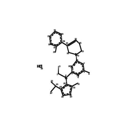 CCN(c1nc(C)cc(N2CCC=C(c3ccccc3C)C2)n1)c1c(C(C)C)csc1C.Cl